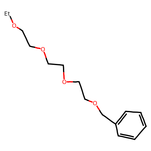 CCOCCOCCOCCOCc1ccccc1